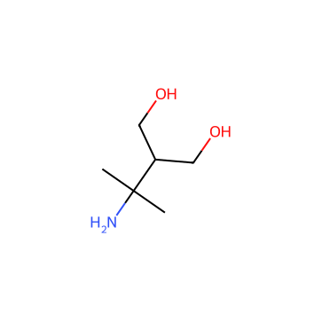 CC(C)(N)C(CO)CO